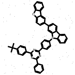 CC(C)(C)c1ccc(-c2nc(-c3ccccc3)nc(-c3ccc(-n4c5ccccc5c5ccc(-c6ccc7oc8ccccc8c7c6)cc54)cc3)n2)cc1